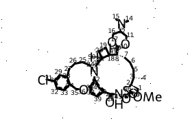 COC[C@@H]1[C@@H](C)CCC[C@@H]([C@H]2OC[C@@H](N(C)C)CO2)[C@@H]2CC[C@H]2CN2CCCCc3cc(Cl)ccc3COc3ccc(cc32)C(=O)NS1(=O)=O